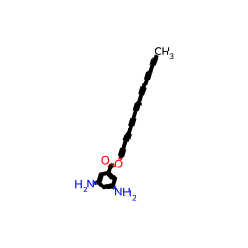 CC#CC#CC#CC#CC#CC#CC#COC(=O)c1cc(N)cc(N)c1